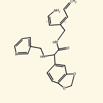 C=C/C=C(\C=C/N)CNC(=O)C(NCc1cccnc1)c1ccc2c(c1)OCO2